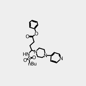 CCCCS(=O)(=O)NC(CCC(=O)Oc1ccccc1)N1CCN(c2ccncc2)CC1